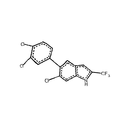 FC(F)(F)c1cc2cc(-c3ccc(Cl)c(Cl)c3)c(Cl)cc2[nH]1